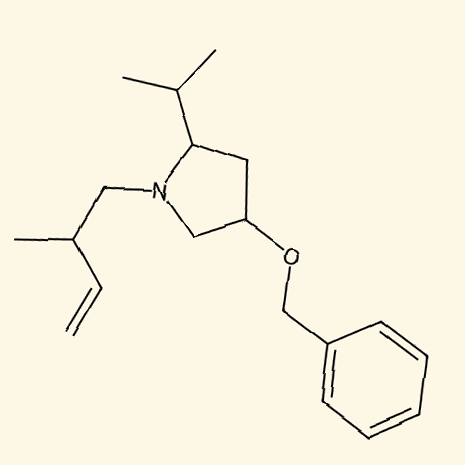 C=CC(C)CN1CC(OCc2ccccc2)CC1C(C)C